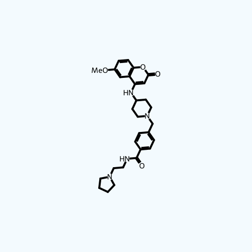 COc1ccc2oc(=O)cc(NC3CCN(Cc4ccc(C(=O)NCCN5CCCC5)cc4)CC3)c2c1